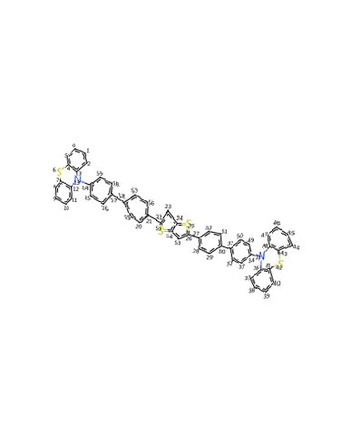 c1ccc2c(c1)Sc1ccccc1N2c1ccc(-c2ccc(-c3cc4sc(-c5ccc(-c6ccc(N7c8ccccc8Sc8ccccc87)cc6)cc5)cc4s3)cc2)cc1